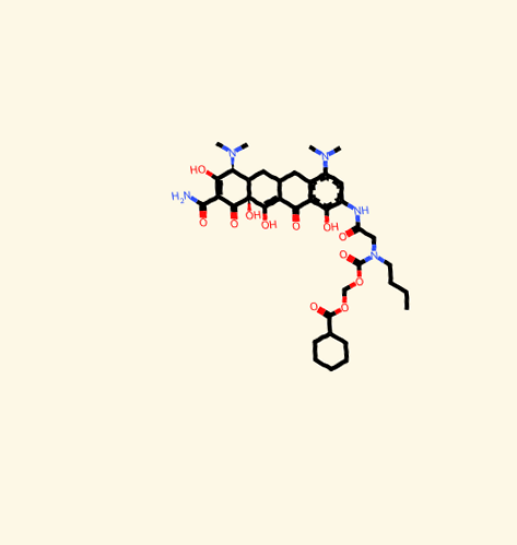 CCCCN(CC(=O)Nc1cc(N(C)C)c2c(c1O)C(=O)C1=C(O)[C@]3(O)C(=O)C(C(N)=O)=C(O)[C@@H](N(C)C)C3CC1C2)C(=O)OCOC(=O)C1CCCCC1